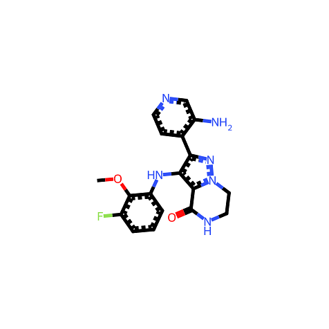 COc1c(F)cccc1Nc1c(-c2ccncc2N)nn2c1C(=O)NCC2